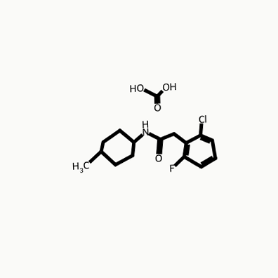 CC1CCC(NC(=O)Cc2c(F)cccc2Cl)CC1.O=C(O)O